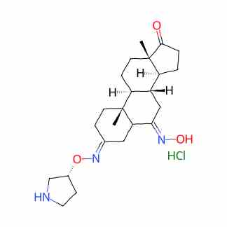 C[C@]12CC/C(=N\O[C@@H]3CCNC3)CC1/C(=N/O)C[C@@H]1[C@@H]2CC[C@]2(C)C(=O)CC[C@@H]12.Cl